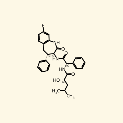 CC(C)C[C@H](O)C(=O)N[C@H](C(=O)N[C@@H]1C(=O)Nc2cc(F)ccc2C[C@H]1c1ccccc1)c1ccccc1